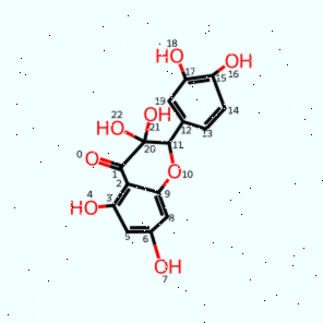 O=C1c2c(O)cc(O)cc2OC(c2ccc(O)c(O)c2)C1(O)O